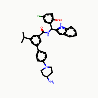 CC(C)c1cc(C(=O)NC(c2cc3ccccc3[nH]2)c2cc(F)ccc2O)cc(-c2ccc(N3CCC(N)CC3)cc2)c1